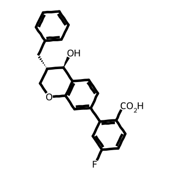 O=C(O)c1ccc(F)cc1-c1ccc2c(c1)OC[C@H](Cc1ccccc1)[C@H]2O